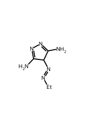 CCN=NC1C(N)=NN=C1N